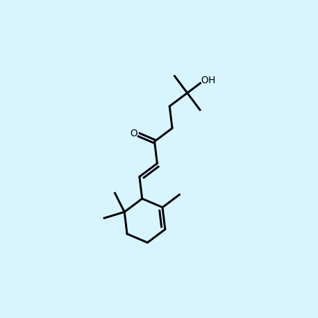 CC1=CCCC(C)(C)C1/C=C/C(=O)CCC(C)(C)O